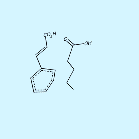 CCCCC(=O)O.O=C(O)C=Cc1ccccc1